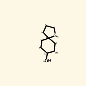 OC1CCC2(CCCS2)CC1